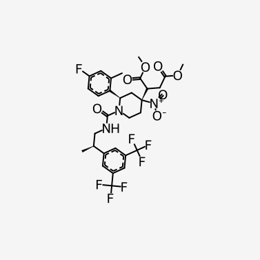 COC(=O)CC(C(=O)OC)[C@@]1([N+](=O)[O-])CCN(C(=O)NC[C@H](C)c2cc(C(F)(F)F)cc(C(F)(F)F)c2)[C@@H](c2ccc(F)cc2C)C1